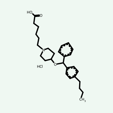 CCCCc1ccc(C(OC2CCN(CCCCCC(=O)O)CC2)c2ccccc2)cc1.Cl